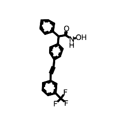 O=C(NO)C(c1ccccc1)c1ccc(C#Cc2cccc(C(F)(F)F)c2)cc1